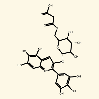 O=C(O)CC(=O)OCC1O[C@@H](Oc2cc3c(O)c(O)c(O)cc3[o+]c2-c2cc(O)c(O)c(O)c2)C(O)[C@@H](O)[C@@H]1O